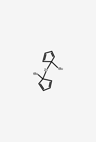 CC(C)(C)[C]1([Zn][C]2(C(C)(C)C)C=CC=C2)C=CC=C1